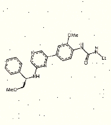 CCNC(=O)Nc1ccc(-c2cncc(N[C@@H](COC)c3ccccc3)n2)cc1OC